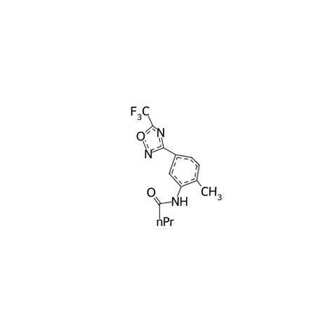 CCCC(=O)Nc1cc(-c2noc(C(F)(F)F)n2)ccc1C